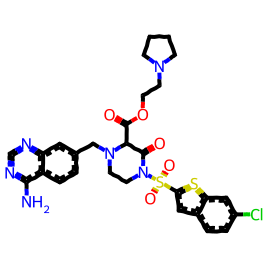 Nc1ncnc2cc(CN3CCN(S(=O)(=O)c4cc5ccc(Cl)cc5s4)C(=O)C3C(=O)OCCN3CCCC3)ccc12